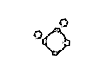 C1=Cc2cc3ccc(cc4nc(cc5ccc(cc1n2)[nH]5)C=C4)[nH]3.c1ccncc1.c1ccncc1